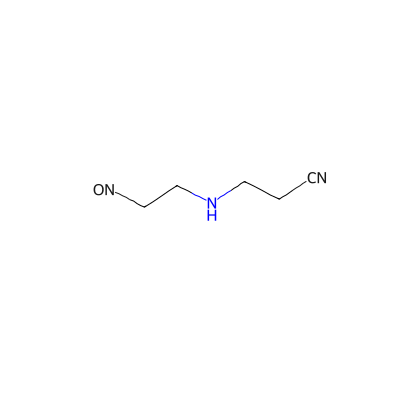 N#CCCNCCN=O